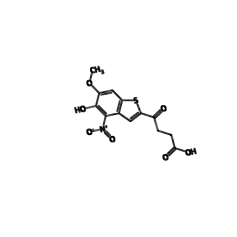 COc1cc2sc(C(=O)CCC(=O)O)cc2c([N+](=O)[O-])c1O